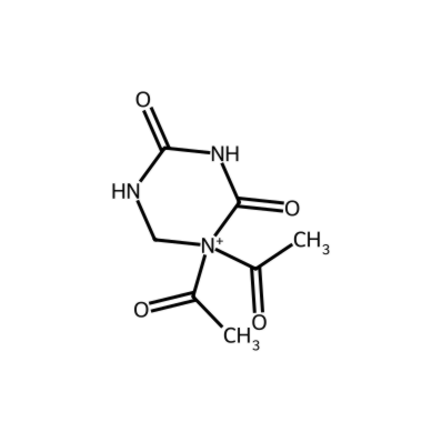 CC(=O)[N+]1(C(C)=O)CNC(=O)NC1=O